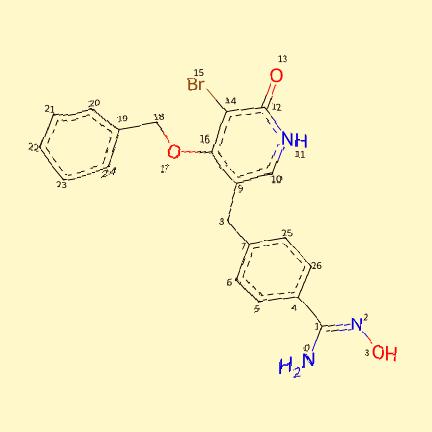 NC(=NO)c1ccc(Cc2c[nH]c(=O)c(Br)c2OCc2ccccc2)cc1